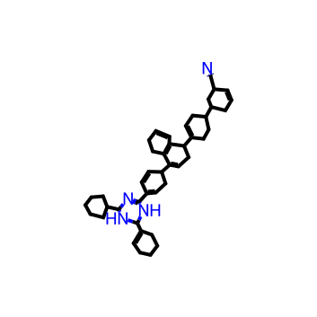 N#CC1C=CCC(C2CC=C(C3CC=C(C4C=CC(C5=NC(C6CCCCC6)NC(C6=CCCCC6)N5)=CC4)C4=C3C=CCC4)CC2)C1